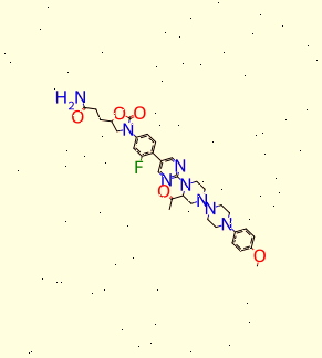 COc1ccc(N2CCN(N3CCN(c4ncc(-c5ccc(N6CC(CCC(N)=O)OC6=O)cc5F)cn4)C(C(C)=O)C3)CC2)cc1